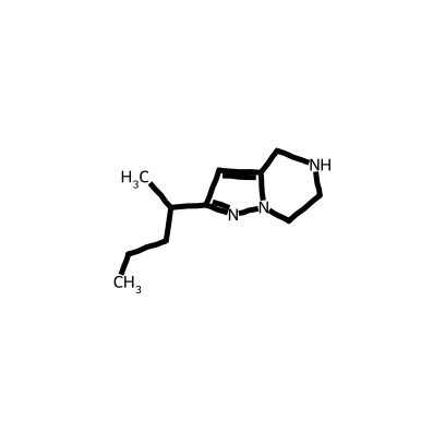 CCCC(C)c1cc2n(n1)CCNC2